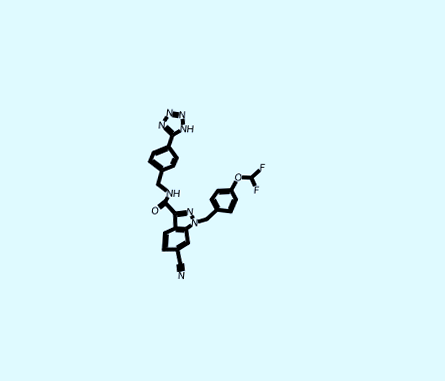 N#Cc1ccc2c(C(=O)NCc3ccc(-c4nnn[nH]4)cc3)nn(Cc3ccc(OC(F)F)cc3)c2c1